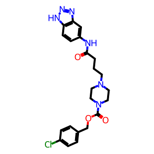 O=C(CCCN1CCN(C(=O)OCc2ccc(Cl)cc2)CC1)Nc1ccc2[nH]nnc2c1